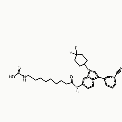 N#Cc1cccc(-c2cn(C3CCC(F)(F)CC3)c3cc(NC(=O)CCCCCCCCNC(=O)O)ccc23)c1